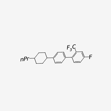 CCCC1CCC(c2ccc(-c3ccc(F)cc3C(F)(F)F)cc2)CC1